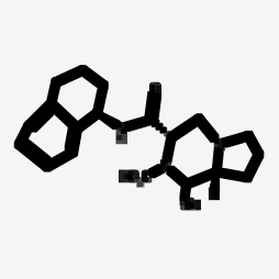 CC(C)(C)C1[C@H]2CCCN2C[C@@H](C(=O)N[C@@H]2CCCc3ccccc32)N1C(=O)O